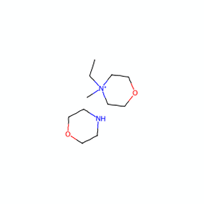 C1COCCN1.CC[N+]1(C)CCOCC1